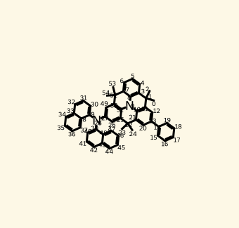 CC1(C)c2cccc3c2N2c4c1cc(-c1ccccc1)cc4C(C)(C)c1cc(N(c4cccc5ccccc45)c4cccc5ccccc45)cc(c12)C3(C)C